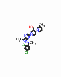 Cc1nn([C@H](C)c2ccc(Cl)cc2Cl)c2nc(N3CC[C@H](N4CCC[C@@H](C)C4)[C@H](CO)C3)cnc12